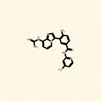 Cc1ccc(C(=O)Nc2cc(C(F)(F)F)ccn2)cc1-c1cnc2c(NC(=N)N)cccn12